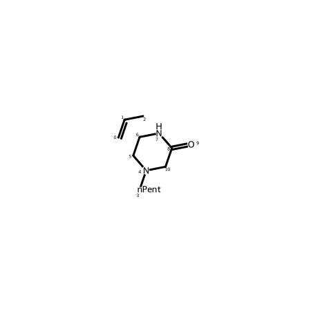 C=CC.CCCCCN1CCNC(=O)C1